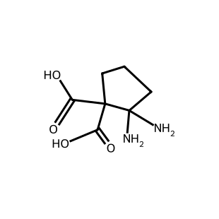 NC1(N)CCCC1(C(=O)O)C(=O)O